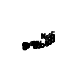 CCCCCCC(C#N)(CCCN(C)C(C)c1ccc(OCC(=O)NN2CCC(C(C)O[N+](=O)[O-])CC2)cc1)c1cc(OC)c(OC)c(OC)c1